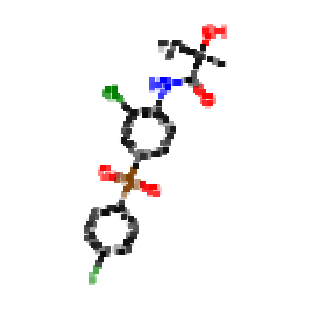 C[C@@](O)(C(=O)Nc1ccc(S(=O)(=O)c2ccc(F)cc2)cc1Cl)C(F)(F)F